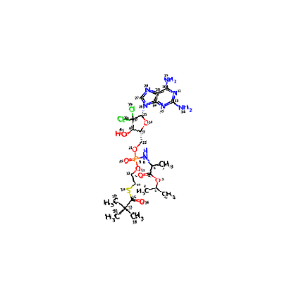 CC(C)OC(=O)C(C)NP(=O)(OCCSC(=O)C(C)(C)C)OC[C@H]1O[C@@H](n2cnc3c(N)nc(N)nc32)C(Cl)(Cl)[C@@H]1O